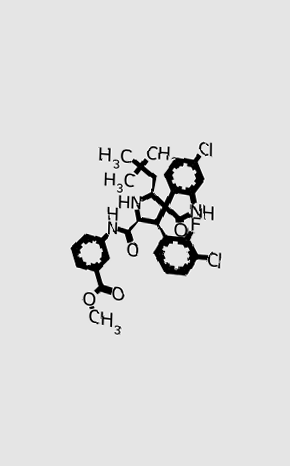 COC(=O)c1cccc(NC(=O)[C@H]2N[C@@H](CC(C)(C)C)C3(C(=O)Nc4cc(Cl)ccc43)[C@H]2c2cccc(Cl)c2F)c1